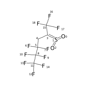 O=S(=O)=C(CC(F)(F)C(F)(F)C(F)(F)F)C(F)(F)F